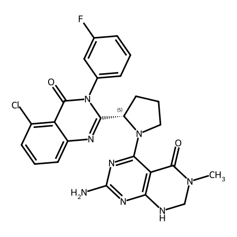 CN1CNc2nc(N)nc(N3CCC[C@H]3c3nc4cccc(Cl)c4c(=O)n3-c3cccc(F)c3)c2C1=O